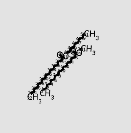 CCCCCCCCC=CCCCCCCCC(=O)OCC.CCCCCCCCC=CCCCCCCCC(=O)OCCCCCCCCCC